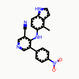 Cc1c(Nc2c(C#N)cncc2-c2ccc([N+](=O)[O-])cc2)ccc2[nH]ccc12